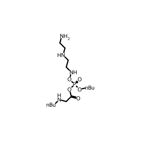 CCCCNCC(=O)OP(=O)(OCCCC)ONCCNCCN